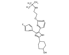 CC(C)(C)NCCOc1nccc(-c2[nH]c(C3CCC(O)CC3)nc2-c2ccc(F)cc2)n1